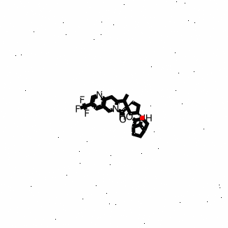 CC1C2Cc3ncc(C(F)(F)F)cc3CN2C(=O)[C@]12CC[C@@H](NC1C3CCC(O)C1CC3)C2